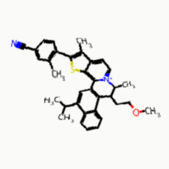 COCCC1c2c(cc(C(C)C)c3ccccc23)-c2c3sc(-c4ccc(C#N)cc4C)c(C)c3cc[n+]2C1C